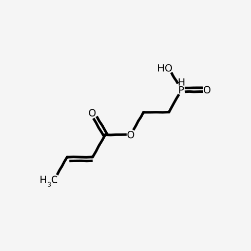 CC=CC(=O)OCC[PH](=O)O